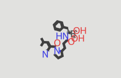 CC(C)C=C(C#N)C(=O)N1CCCC1CCC(=O)N[C@@H](Cc1ccccc1)B(O)O